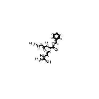 N=C(N)NCCC[C@H](NC(=O)CNN)C(=O)OCc1ccccc1